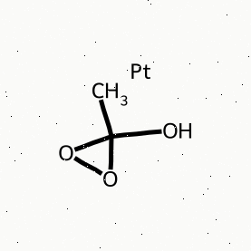 CC1(O)OO1.[Pt]